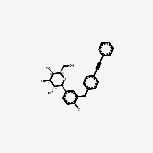 OC[C@H]1O[C@@H](c2ccc(Cl)c(Cc3ccc(C#Cc4ccccn4)cc3)c2)[C@H](O)[C@@H](O)[C@@H]1O